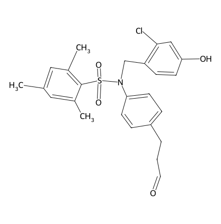 Cc1cc(C)c(S(=O)(=O)N(Cc2ccc(O)cc2Cl)c2ccc(CCC=O)cc2)c(C)c1